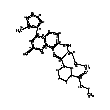 CCOC(=O)[C@H]1CCCN(C(=O)[C@H](COC)Nc2ccc3c(-c4ccccc4C)cc(=O)oc3c2)C1